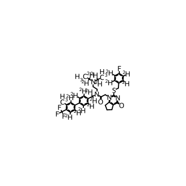 [2H]c1c([2H])c(CSc2nc(=O)c3c(n2CC(=O)N(CCN(C([2H])([2H])C)C([2H])([2H])C)C([2H])([2H])c2c([2H])c([2H])c(-c4c([2H])c([2H])c(C(F)(F)F)c(C)c4[2H])c([2H])c2[2H])CCC3)c([2H])c([2H])c1F